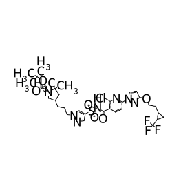 CC(C)(C)OC(=O)N1CC(CCCn2cc(S(=O)(=O)NC(=O)c3ccc(-n4ccc(OCCC5CC5C(F)(F)F)n4)nc3Cl)cn2)CC1(C)C